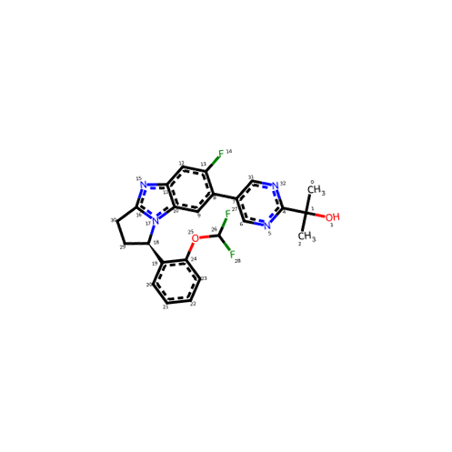 CC(C)(O)c1ncc(-c2cc3c(cc2F)nc2n3[C@@H](c3ccccc3OC(F)F)CC2)cn1